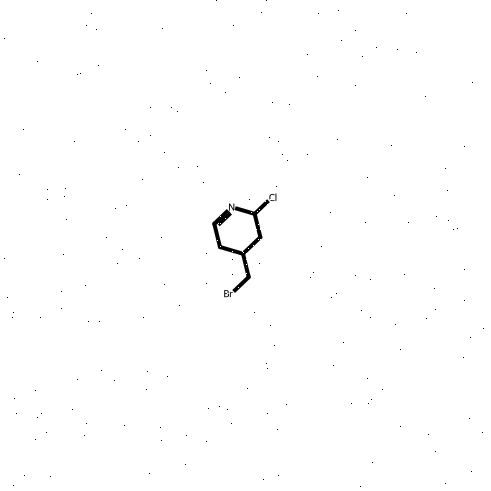 ClC1CC(CBr)CC=N1